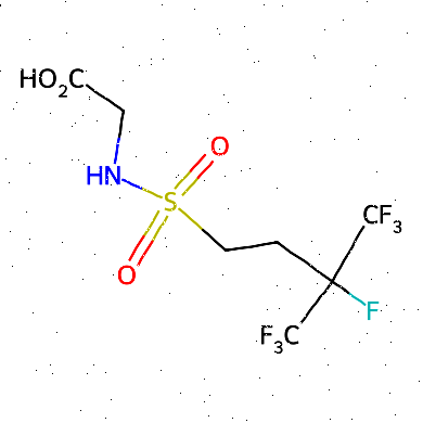 O=C(O)CNS(=O)(=O)CCC(F)(C(F)(F)F)C(F)(F)F